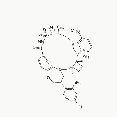 CCCCc1cc(Cl)ccc1[C@@H]1COc2ccc3cc2N(C1)C[C@@H]1CC[C@H]1[C@](O)(c1cccc(OC)n1)/C=C/C[C@H](C)[C@@H](C)S(=O)(=O)NC3=O